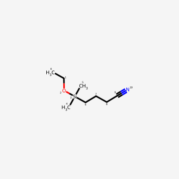 CCO[Si](C)(C)CCCC#N